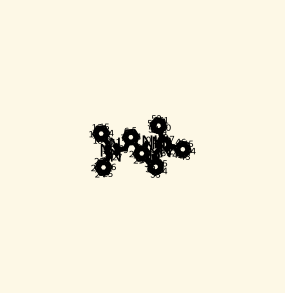 Nc1c(-c2ccccc2Cc2nc(-c3ccccc3)nc(-c3ccccc3)n2)ccc2c3ccccc3n(-c3nc(-c4ccccc4)cc(-c4ccccc4)n3)c12